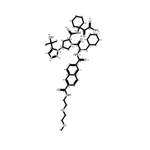 COCCOCCNC(=O)c1ccc2cc(C(=O)N[C@H](CC3CCCCC3)C(=O)N3C[C@@H](n4nncc4C(C)(C)O)C[C@H]3C(=O)NC3(C(=O)C(N)=O)CCCCC3)ccc2c1